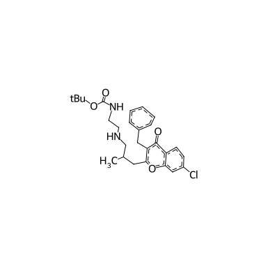 CC(CNCCNC(=O)OC(C)(C)C)Cc1oc2cc(Cl)ccc2c(=O)c1Cc1ccccc1